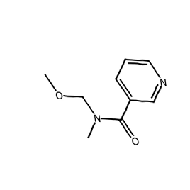 COCN(C)C(=O)c1cccnc1